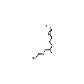 CCCC=NCCCC(C)CN=CCCC